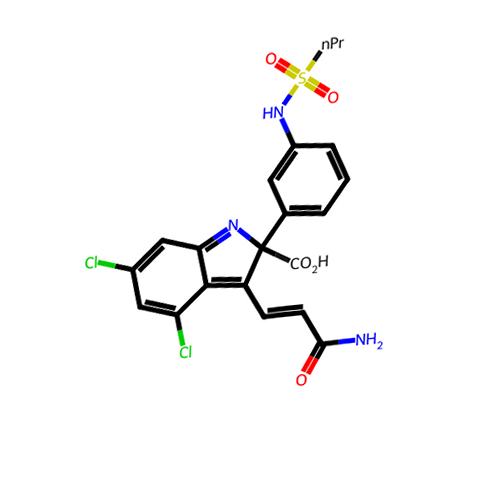 CCCS(=O)(=O)Nc1cccc(C2(C(=O)O)N=c3cc(Cl)cc(Cl)c3=C2C=CC(N)=O)c1